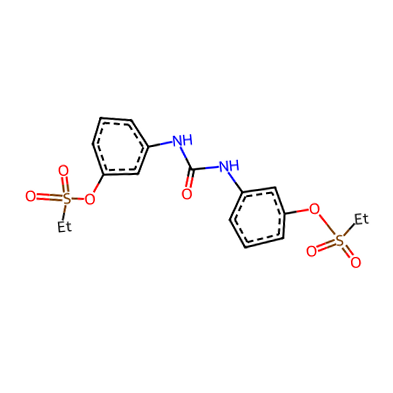 CCS(=O)(=O)Oc1cccc(NC(=O)Nc2cccc(OS(=O)(=O)CC)c2)c1